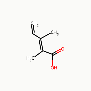 C=C/C(C)=C(\C)C(=O)O